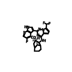 O=C(O)[C@H]1CC2CCCC(C2)[C@@H]1Nc1nc(-c2c[nH]c3ncc(F)cc23)nn2c(C(F)F)ccc12